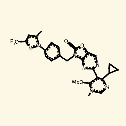 COc1c(-c2ncc3oc(=O)n(Cc4ccc(-n5nc(C(F)(F)F)cc5C)cc4)c3n2)c(C2CC2)nc[n+]1C